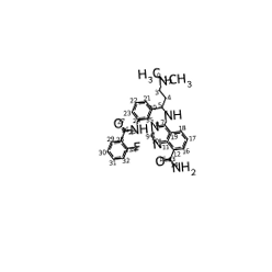 CN(C)CCC(Nc1ncnc2c(C(N)=O)cccc12)c1cccc(NC(=O)c2ccccc2F)c1